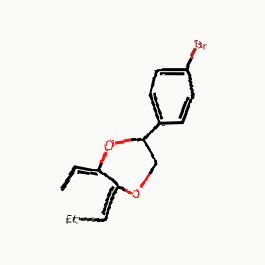 C/C=C1/OC(c2ccc(Br)cc2)CO/C1=C/CC